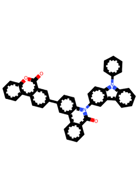 O=c1oc2ccccc2c2ccc(-c3ccc4c(c3)c3ccccc3c(=O)n4-c3ccc4c(c3)c3ccccc3n4-c3ccccc3)cc12